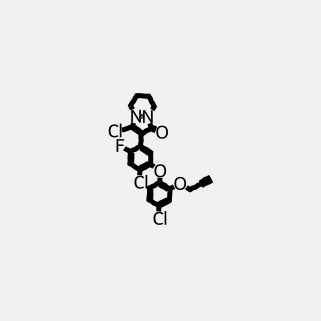 C#CCOc1cc(Cl)ccc1Oc1cc(-c2c(Cl)n3n(c2=O)CCCC3)c(F)cc1Cl